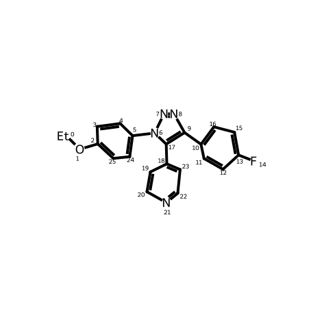 CCOc1ccc(-n2nnc(-c3ccc(F)cc3)c2-c2ccncc2)cc1